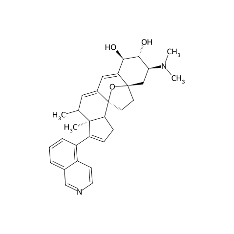 CC1C=C2C=C3[C@@H](O)[C@H](O)[C@@H](N(C)C)C[C@]34CC[C@]2(O4)C2CC=C(c3cccc4cnccc34)[C@@]12C